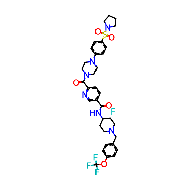 O=C(N[C@@H]1CCN(Cc2ccc(OC(F)(F)F)cc2)C[C@H]1F)c1ccc(C(=O)N2CCN(c3ccc(S(=O)(=O)N4CCCC4)cc3)CC2)nc1